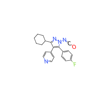 O=C=Nn1nc(C2CCCCC2)c(-c2ccncc2)c1-c1ccc(F)cc1